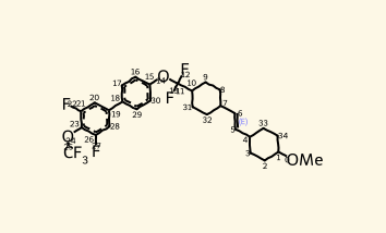 COC1CCC(/C=C/C2CCC(C(F)(F)Oc3ccc(-c4cc(F)c(OC(F)(F)F)c(F)c4)cc3)CC2)CC1